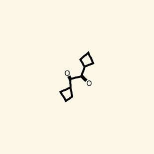 O=C(C(=O)C1CCC1)C1CCC1